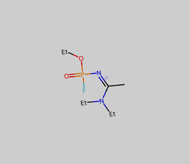 CCOP(=O)(F)/N=C(/C)N(CC)CC